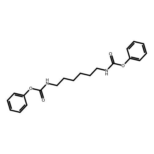 O=C(NCCCCCCNC(=O)Oc1ccccc1)Oc1ccccc1